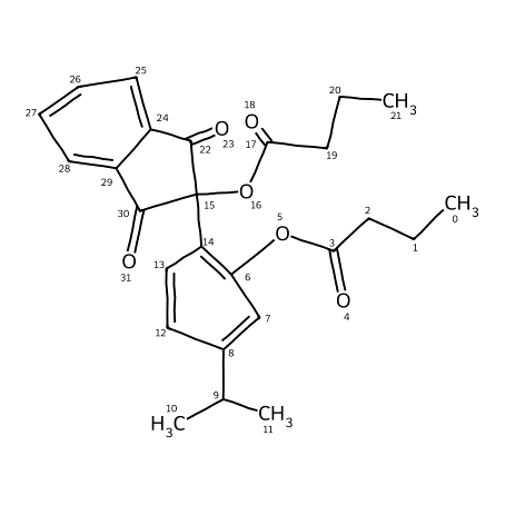 CCCC(=O)Oc1cc(C(C)C)ccc1C1(OC(=O)CCC)C(=O)c2ccccc2C1=O